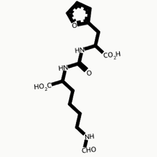 O=CNCCCCC(NC(=O)NC(Cc1ccco1)C(=O)O)C(=O)O